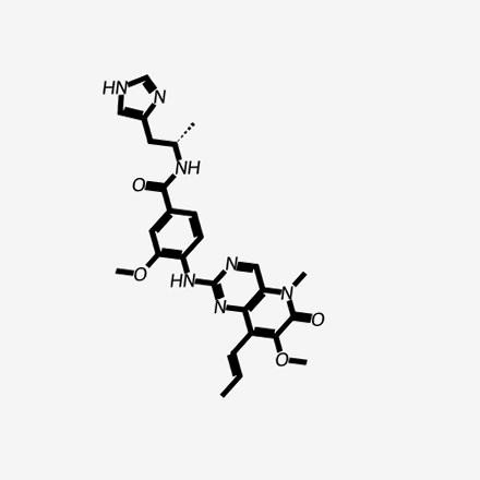 C/C=C/c1c(OC)c(=O)n(C)c2cnc(Nc3ccc(C(=O)N[C@@H](C)Cc4c[nH]cn4)cc3OC)nc12